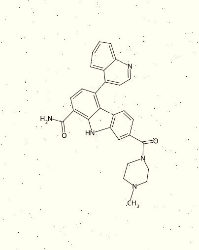 CN1CCN(C(=O)c2ccc3c(c2)[nH]c2c(C(N)=O)ccc(-c4ccnc5ccccc45)c23)CC1